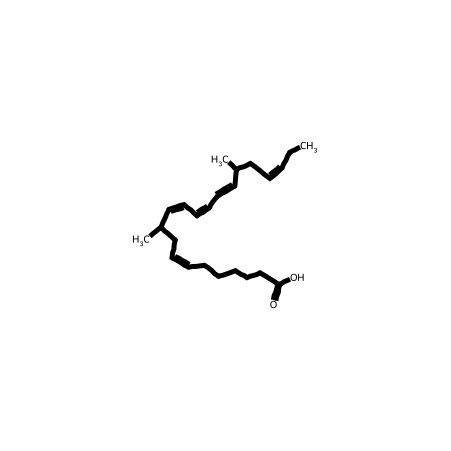 CC/C=C\CC(C)/C=C/C=C\C=C/C(C)C/C=C\CCCCCC(=O)O